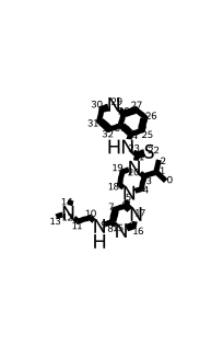 CC(C)C1CN(c2cc(NCCN(C)C)ncn2)CCN1C(=S)Nc1cccc2ncccc12